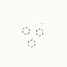 BrC1CC1.c1ccc(P(c2ccccc2)c2ccccc2)cc1